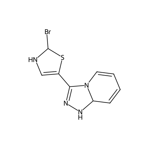 BrC1NC=C(C2=NNC3C=CC=CN23)S1